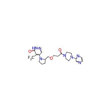 O=C(CCOCC1CCCN1c1cn[nH]c(=O)c1C(F)(F)F)N1CCN(c2cnccn2)CC1